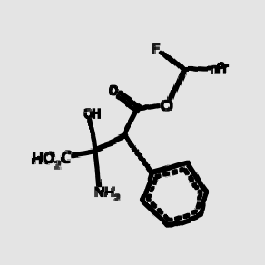 CCCC(F)OC(=O)C(c1ccccc1)C(N)(O)C(=O)O